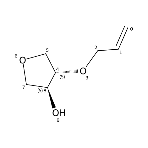 C=CCO[C@H]1COC[C@@H]1O